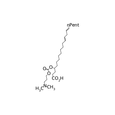 CCCCCC=CCC=CCCCCCCCCC(CCC(=O)O)OC(=O)OCCCN(C)C